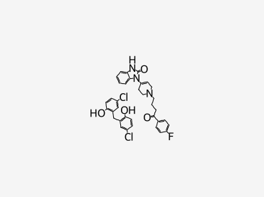 O=C(CCCN1CC=C(n2c(=O)[nH]c3ccccc32)CC1)c1ccc(F)cc1.Oc1ccc(Cl)cc1Cc1cc(Cl)ccc1O